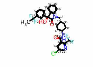 CC(F)(F)c1cccc(C2(O)C(=O)N(C[C@H]3CC[C@H](NC(=O)c4cc(Cl)cnc4C(F)F)CC3)c3ccccc32)c1